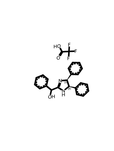 O=C(O)C(F)(F)F.OC(C1=N[C@@H](c2ccccc2)[C@@H](c2ccccc2)N1)c1ccccc1